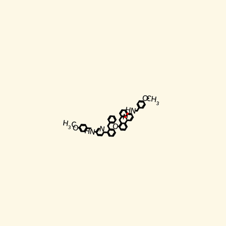 COc1ccc(CNc2ccc(-c3cccc(Oc4cccc(-c5ccc(NCc6ccc(OC)cc6)cn5)c4Cc4ccccc4)c3Cc3ccccc3)nc2)cc1